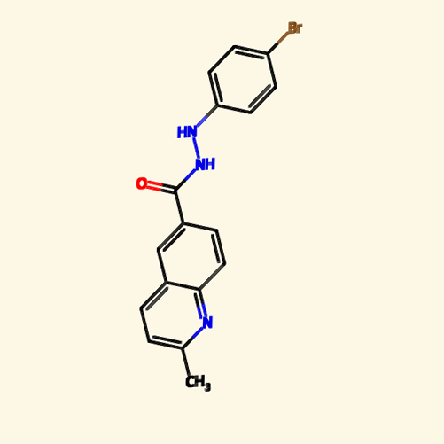 Cc1ccc2cc(C(=O)NNc3ccc(Br)cc3)ccc2n1